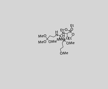 CCO[Si](OCC)(OCC)C(NC(=O)NCCC(OC)(OC)OC)O[Si](CCCOC)(OC)OC